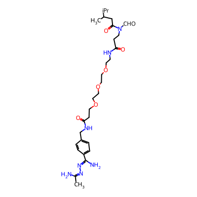 C/C(N)=N/N=C(\N)c1ccc(CNC(=O)CCOCCOCCOCCNC(=O)CCN(C=O)C(=O)CC(C)C(C)C)cc1